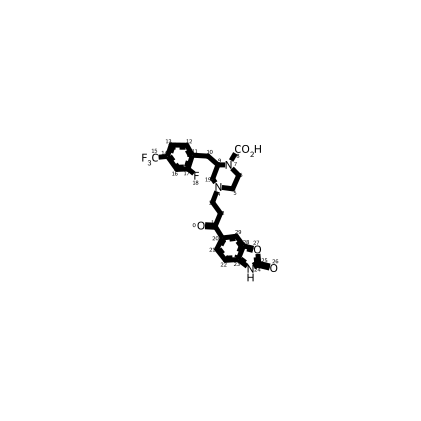 O=C(CCN1CCN(C(=O)O)C(Cc2ccc(C(F)(F)F)cc2F)C1)c1ccc2[nH]c(=O)oc2c1